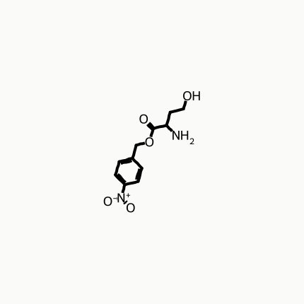 NC(CCO)C(=O)OCc1ccc([N+](=O)[O-])cc1